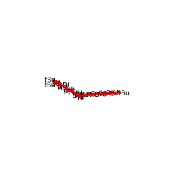 CC(C)(C)CCOCCOCCOCCOCCOCCOCCOCCOCCOCCn1cc(COC(=O)NCCNC(=O)CNC(=O)CNC(=O)CNC(=O)CON=C(CSC(C)(C)C)CSC(C)(C)C)nn1